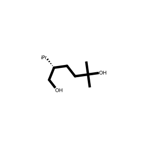 CC(C)[C@@H](CO)CCC(C)(C)O